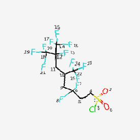 O=S(=O)(Cl)CCC(F)(F)CC(CC(F)(C(F)(F)F)C(F)(F)F)C(F)(F)F